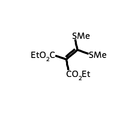 CCOC(=O)C(C(=O)OCC)=C(SC)SC